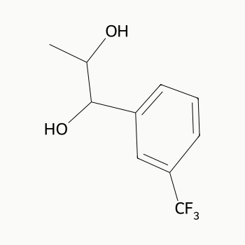 CC(O)C(O)c1cccc(C(F)(F)F)c1